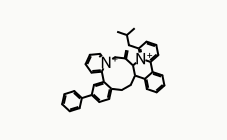 C=C1C[n+]2ccccc2-c2cc(-c3ccccc3)ccc2CCC2c3ccccc3-c3cccc(CC(C)C)[n+]3C12